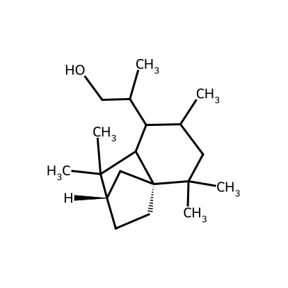 CC(CO)C1C(C)CC(C)(C)[C@@]23CC[C@@H](C2)C(C)(C)C13